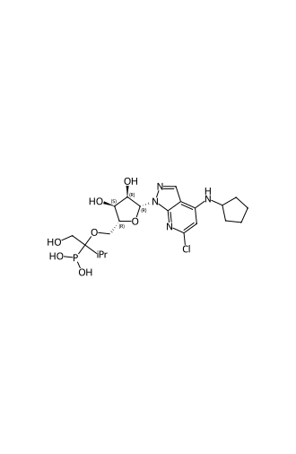 CC(C)C(CO)(OC[C@H]1O[C@@H](n2ncc3c(NC4CCCC4)cc(Cl)nc32)[C@H](O)[C@@H]1O)P(O)O